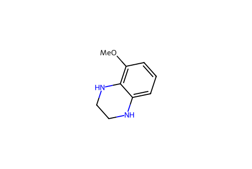 COc1cccc2c1NCCN2